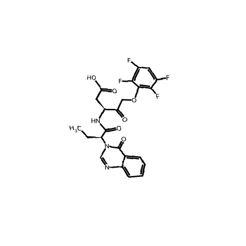 CC[C@@H](C(=O)N[C@@H](CC(=O)O)C(=O)COc1c(F)c(F)cc(F)c1F)n1cnc2ccccc2c1=O